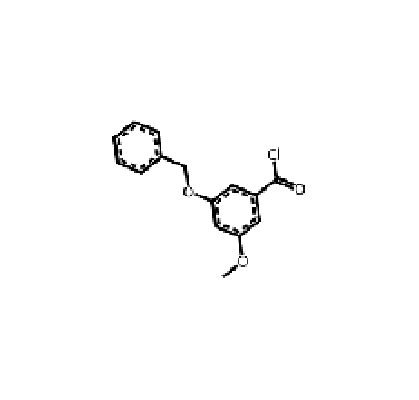 COc1cc(OCc2ccccc2)cc(C(=O)Cl)c1